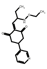 CCONC(C=C1C(=O)CC(c2cccnc2)CC1=O)CC